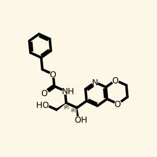 O=C(N[C@H](CO)[C@H](O)c1cnc2c(c1)OCCO2)OCc1ccccc1